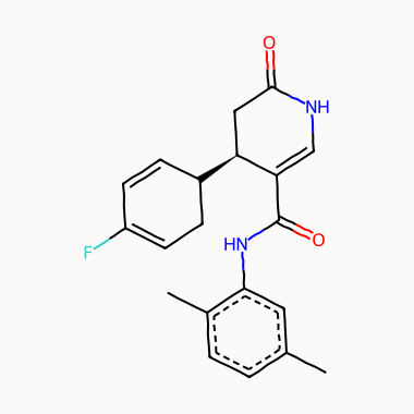 Cc1ccc(C)c(NC(=O)C2=CNC(=O)C[C@@H]2C2C=CC(F)=CC2)c1